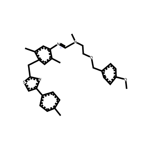 COc1ccc(COCCN(C)/C=N/c2cc(C)c(Cc3nc(-c4ccc(C)cc4)cs3)cc2C)cc1